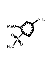 COc1cc(N)ccc1S(C)(=O)=O